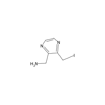 NCc1nccnc1CI